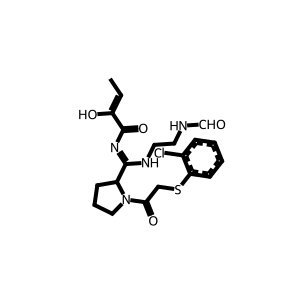 C/C=C(\O)C(=O)/N=C(\NCCNC=O)C1CCCN1C(=O)CSc1ccccc1Cl